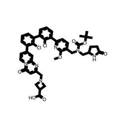 COc1nc(-c2cccc(-c3cccc(-c4ccn5c(=O)cc(CN6CC(C(=O)O)C6)nc5c4)c3Cl)c2Cl)ccc1CN(CC1CCC(=O)N1)C(=O)OC(C)(C)C